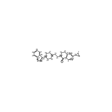 O=C1c2cnc(C3CC3)nc2CCN1CCN1CCN(c2nsc3ccccc23)CC1